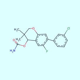 CC1(C)COc2cc(-c3cccc(Cl)c3)c(F)cc2C1OC(N)=O